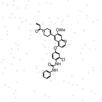 C=CC(=O)N1CC=C(c2cc3c(Oc4ccc(NC(=O)Nc5ccccc5)c(Cl)c4)ccnc3cc2OC)CC1